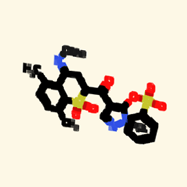 CCn1ncc(C(=O)C2CC(=NOC)c3c(C)ccc(C)c3S2(=O)=O)c1OS(=O)(=O)c1ccccc1